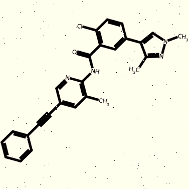 Cc1cc(C#Cc2ccccc2)cnc1NC(=O)c1cc(-c2cn(C)nc2C)ccc1Cl